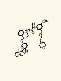 CN1CCC[C@@]1(C)c1nnc2ccc(O[C@@H]3CC[C@H](NC(=O)Nc4cc(COCCN5CCOCC5)cc(C(C)(C)C)c4)c4ccccc43)cn12